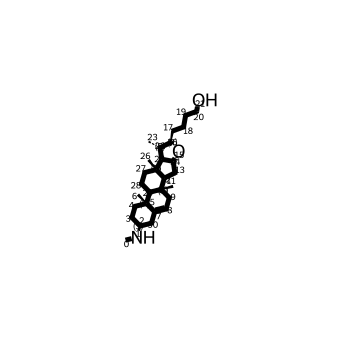 CN[C@H]1CC[C@@]2(C)C(=CC[C@@]3(C)C4CC5O[C@H](CCCCO)[C@@H](C)C5[C@@]4(C)CCC32)C1